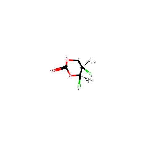 C[C@]1(Cl)OC(=O)OC[C@@]1(C)Cl